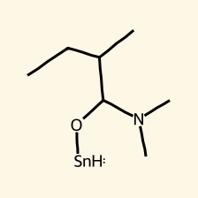 CCC(C)C([O][SnH])N(C)C